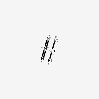 C[CH2][Ga+][CH2]C.[N-]=[N+]=[N-]